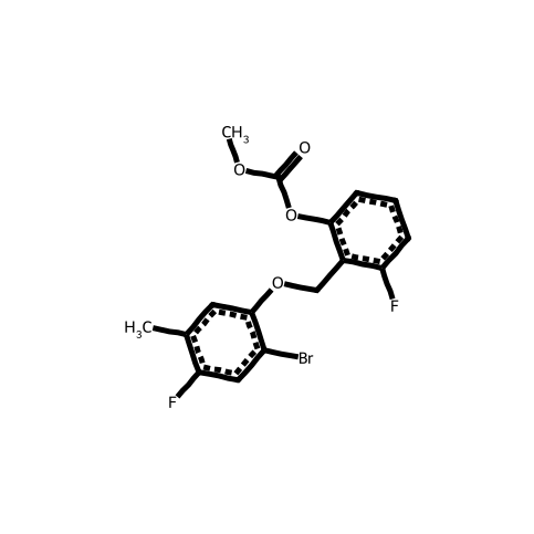 COC(=O)Oc1cccc(F)c1COc1cc(C)c(F)cc1Br